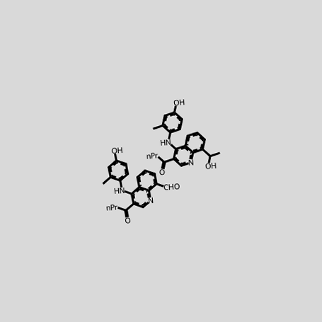 CCCC(=O)c1cnc2c(C(C)O)cccc2c1Nc1ccc(O)cc1C.CCCC(=O)c1cnc2c(C=O)cccc2c1Nc1ccc(O)cc1C